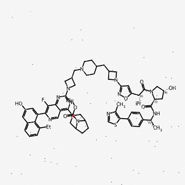 CCc1cccc2cc(O)cc(-c3ncc4c(N5CC6CCC(C5)N6C(=O)OC(C)(C)C)nc(N5CC(CN6CCC(CC7CN(c8cc([C@H](C(=O)N9C[C@H](O)C[C@H]9C(=O)N[C@@H](C)c9ccc(-c%10scnc%10C)cc9)C(C)C)on8)C7)CC6)C5)nc4c3F)c12